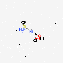 NC(CCN1CCN(CCCP(=O)(Oc2ccccc2)Oc2ccccc2)CC1)CSc1ccccc1